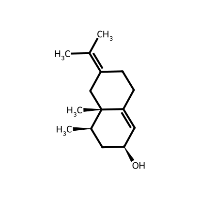 CC(C)=C1CCC2=C[C@@H](O)C[C@@H](C)[C@]2(C)C1